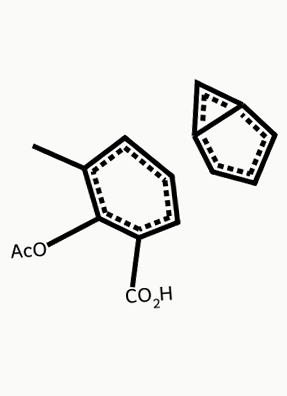 CC(=O)Oc1c(C)cccc1C(=O)O.c1cc2cc-2c1